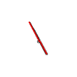 CCCCCCCCCCCCCCCCCCCCCCCCCCCCC(=O)CCCCCCCCCCCCCCCCCCCC